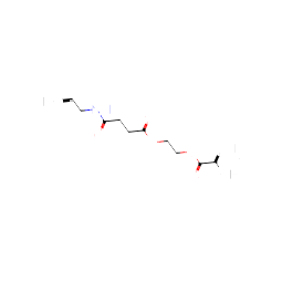 C=CCNC(=O)CCC(=O)OCCOC(=O)C(=C)C